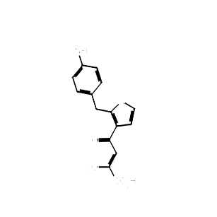 Nc1ccc(Cc2sccc2C(=O)/C=C(\O)C(=O)O)cc1